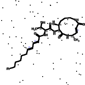 CC(C)CCCCC/C=C/C=C/C(=O)N[C@H](C(=O)N[C@@H]1C(=O)N[C@@H](C)/C=C/C(=O)NCCC[C@@H]1O)[C@@H](C)O